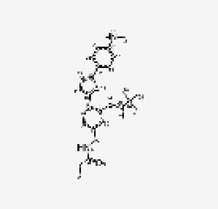 CCC(=O)NCc1ccc(-c2cnc(-c3ccc(NC)cc3)s2)c(SNC(C)(C)C)c1